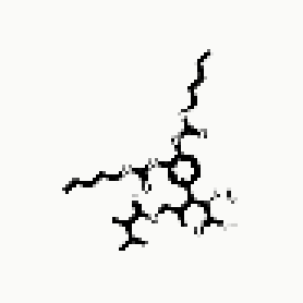 CCCCCOC(=O)Oc1ccc(C(C(C)COC(=O)C(C)C(C)C)[C@H](N)C(=O)O)cc1OC(=O)OCCCCC